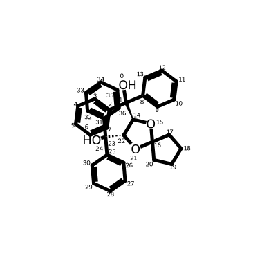 OC(c1ccccc1)(c1ccccc1)[C@H]1OC2(CCCC2)O[C@@H]1C(O)(c1ccccc1)c1ccccc1